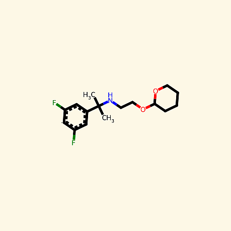 CC(C)(NCCOC1CCCCO1)c1cc(F)[c]c(F)c1